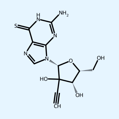 C#CC1(O)[C@@H](O)[C@@H](CO)O[C@H]1n1cnc2c(=S)[nH]c(N)nc21